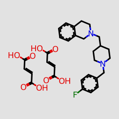 Fc1ccc(CN2CCC(CN3CCc4ccccc4C3)CC2)cc1.O=C(O)C=CC(=O)O.O=C(O)C=CC(=O)O